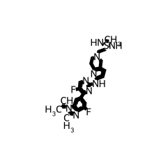 Cc1nc2c(F)cc(-c3nc(Nc4ccc5c(n4)CCN(CCS(C)(=N)=N)C5)ncc3F)cc2n1C(C)C